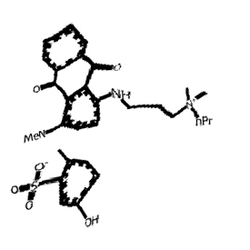 CCC[N+](C)(C)CCCNc1ccc(NC)c2c1C(=O)c1ccccc1C2=O.Cc1ccc(O)cc1S(=O)(=O)[O-]